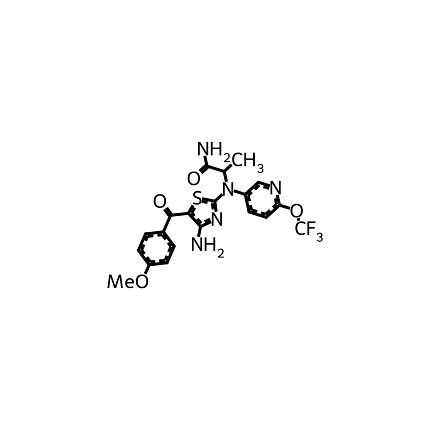 COc1ccc(C(=O)c2sc(N(c3ccc(OC(F)(F)F)nc3)C(C)C(N)=O)nc2N)cc1